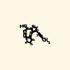 CC#Cc1csc(C(=O)O)c1N1CCCC1=O